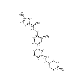 Cc1cc(-c2ccnc(NCC3CC[S+]([O-])CC3)n2)ccc1CNC(=O)c1cnc(C(C)(C)C)s1